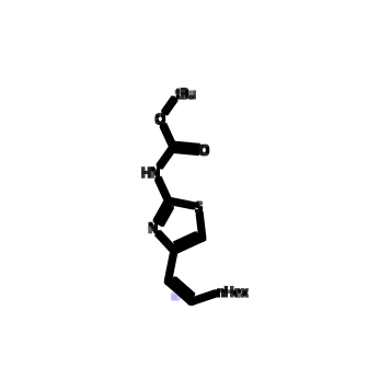 CCCCCC/C=C\c1csc(NC(=O)OC(C)(C)C)n1